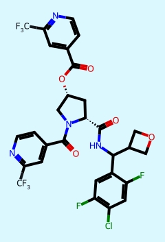 O=C(O[C@@H]1C[C@H](C(=O)NC(c2cc(F)c(Cl)cc2F)C2COC2)N(C(=O)c2ccnc(C(F)(F)F)c2)C1)c1ccnc(C(F)(F)F)c1